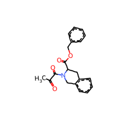 CC(=O)C(=O)N1Cc2ccccc2CC1C(=O)OCc1ccccc1